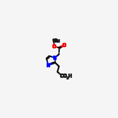 CC(C)(C)OC(=O)Cn1ccnc1CCC(=O)O